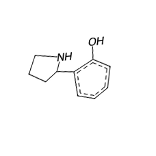 Oc1ccccc1C1CCCN1